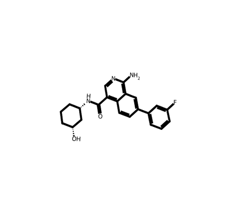 Nc1ncc(C(=O)N[C@H]2CCC[C@@H](O)C2)c2ccc(-c3cccc(F)c3)cc12